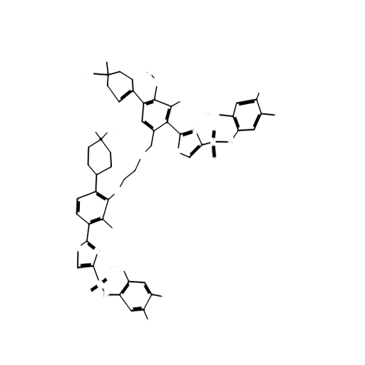 CCCCOc1c(C2=CCC(C)(C)CC2)cc(COCCOc2c(C3CCC(C)(C)CC3)ccc(-c3nc(S(=O)(=O)Nc4cc(F)c(C(=O)O)cc4OC)cs3)c2F)c(-c2nc(S(=O)(=O)Nc3cc(F)c(C(=O)O)cc3OC)cs2)c1F